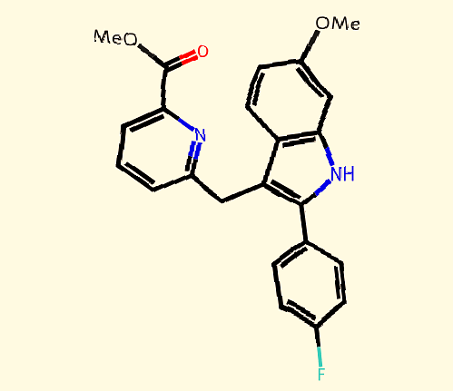 COC(=O)c1cccc(Cc2c(-c3ccc(F)cc3)[nH]c3cc(OC)ccc23)n1